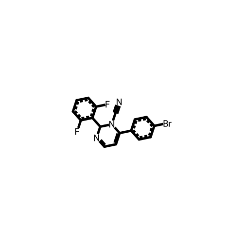 N#CN1C(c2ccc(Br)cc2)=CC=NC1c1c(F)cccc1F